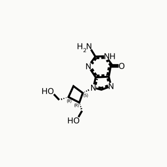 Nc1nc2c(ncn2[C@H]2C[C@@H](CO)[C@H]2CO)c(=O)[nH]1